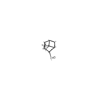 CC1(C)C2C=CC(C=O)C1C2